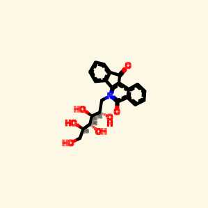 O=C1c2ccccc2-c2c1c1ccccc1c(=O)n2C[C@H](O)[C@H](O)[C@H](O)[C@H](O)CO